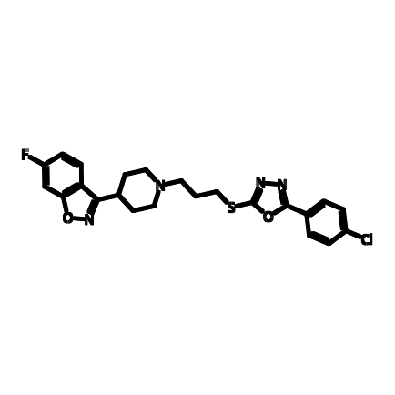 Fc1ccc2c(C3CCN(CCCSc4nnc(-c5ccc(Cl)cc5)o4)CC3)noc2c1